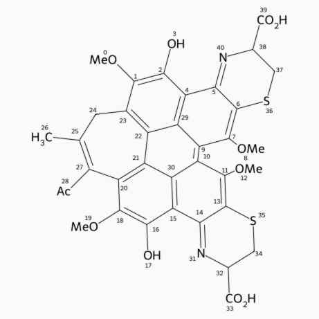 COc1c(O)c2c3c(c(OC)c4c5c(OC)c6c(c7c(O)c(OC)c8c(c(c1CC(C)=C8C(C)=O)c24)c75)=NC(C(=O)O)CS6)SCC(C(=O)O)N=3